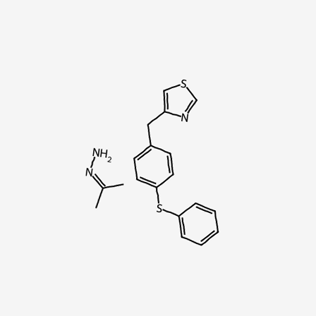 CC(C)=NN.c1ccc(Sc2ccc(Cc3cscn3)cc2)cc1